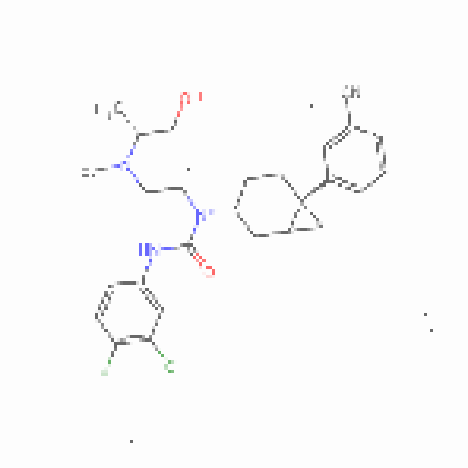 CCN(CCN(C(=O)Nc1ccc(F)c(Cl)c1)[C@@H]1CC[C@]2(c3cccc(C#N)c3)CC2C1)[C@H](C)CO